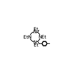 CCN1CCN(CC)C(C)CN(CC)CC(Cc2ccc(C)cc2)N(CC)CC1